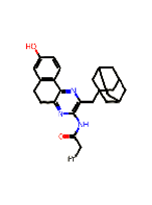 CC(C)CC(=O)Nc1nc2c(nc1CC13CC4CC(CC(C4)C1)C3)-c1ccc(O)cc1CC2